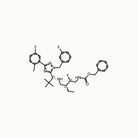 CC[C@@H](CN[C@@H](c1nc(-c2cc(F)ccc2F)nn1Cc1cccc(F)c1)C(C)(C)C)[C@@H](F)CNC(=O)OCc1ccccc1